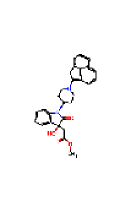 COC(=O)CC1(O)C(=O)N(C2CCN(C3=C4C=CC=C5C=CC=C(C3)C54)CC2)c2ccccc21